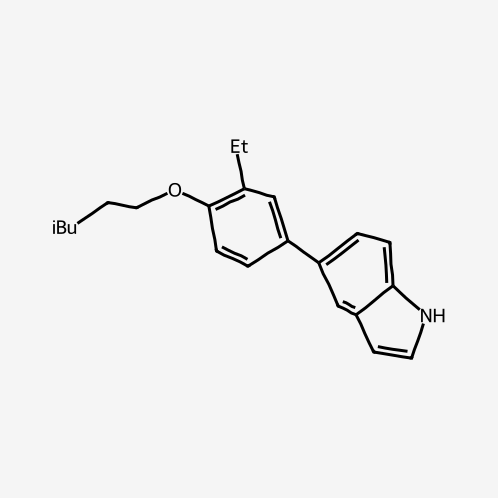 CCc1cc(-c2ccc3[nH]ccc3c2)ccc1OCCC(C)CC